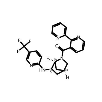 O=C(c1cccnc1-c1ccccn1)N1C[C@H]2C[C@@H](Nc3ccc(C(F)(F)F)cn3)[C@@H]1C2